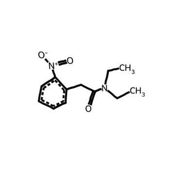 CCN(CC)C(=O)Cc1ccccc1[N+](=O)[O-]